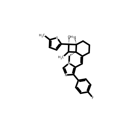 Cc1ccc([C@]2(O)C(C)[C@]34Cn5cnc(-c6ccc(F)cc6)c5C=C3CCC[C@@H]42)s1